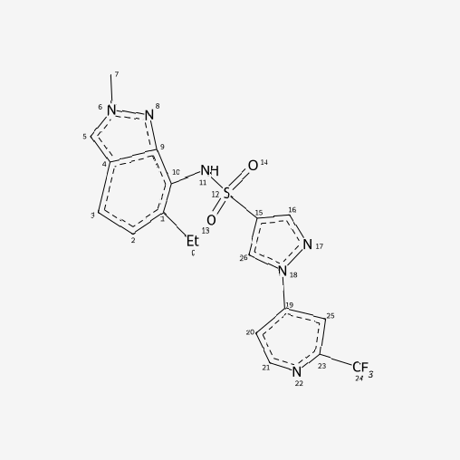 CCc1ccc2cn(C)nc2c1NS(=O)(=O)c1cnn(-c2ccnc(C(F)(F)F)c2)c1